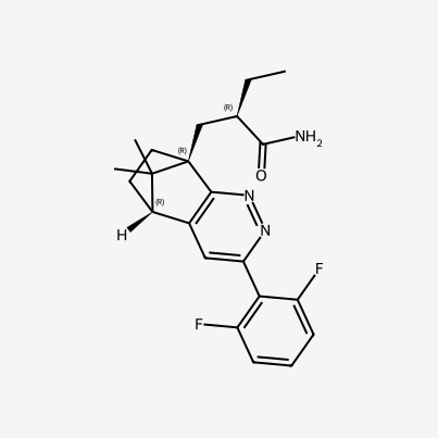 CC[C@H](C[C@@]12CC[C@@H](c3cc(-c4c(F)cccc4F)nnc31)C2(C)C)C(N)=O